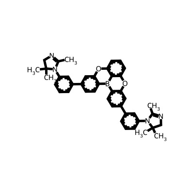 CC1=NCC(C)(C)N1c1cccc(-c2ccc3c(c2)Oc2cccc4c2B3c2ccc(-c3cccc(N5C(C)=NCC5(C)C)c3)cc2O4)c1